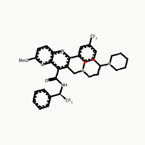 COc1ccc2nc(-c3cccc(C(F)(F)F)c3)c(CN3CCC(N4CCCCC4)CC3)c(C(=O)N[C@H](c3ccccc3)C(F)(F)F)c2n1